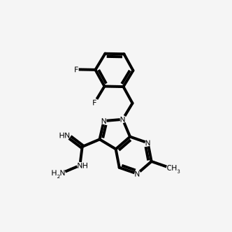 Cc1ncc2c(C(=N)NN)nn(Cc3cccc(F)c3F)c2n1